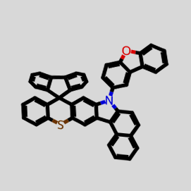 c1ccc2c(c1)Sc1cc3c4c5ccccc5ccc4n(-c4ccc5oc6ccccc6c5c4)c3cc1C21c2ccccc2-c2ccccc21